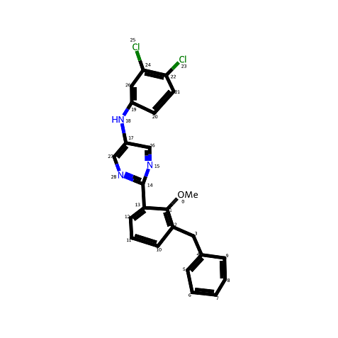 COc1c(Cc2ccccc2)cccc1-c1ncc(Nc2ccc(Cl)c(Cl)c2)cn1